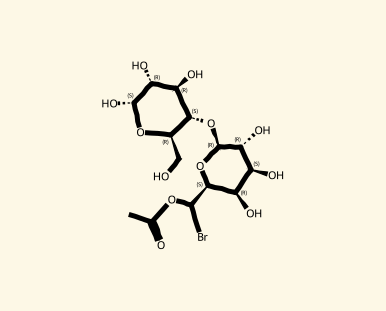 CC(=O)OC(Br)[C@H]1O[C@@H](O[C@H]2[C@H](O)[C@@H](O)[C@@H](O)O[C@@H]2CO)[C@H](O)[C@@H](O)[C@H]1O